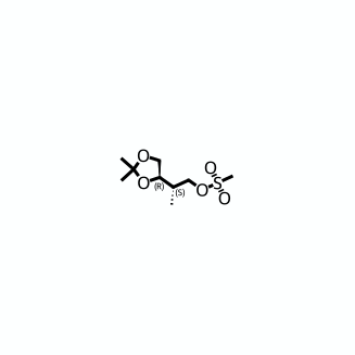 C[C@@H](COS(C)(=O)=O)[C@@H]1COC(C)(C)O1